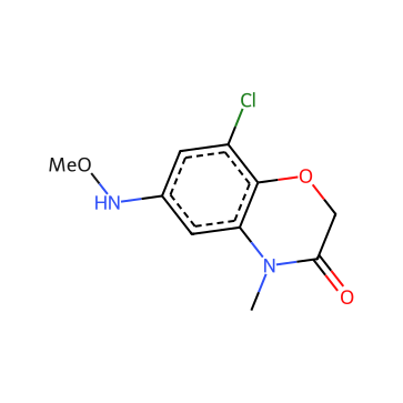 CONc1cc(Cl)c2c(c1)N(C)C(=O)CO2